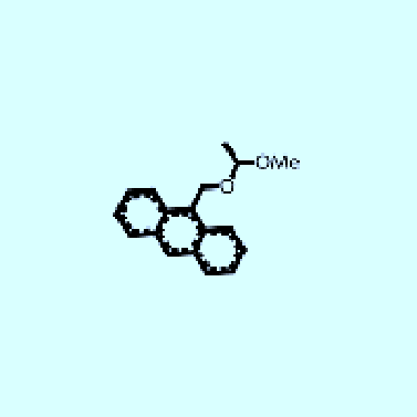 COC(C)OCc1c2ccccc2cc2ccccc12